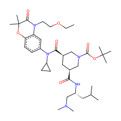 CCOCCN1C(=O)C(C)(C)Oc2ccc(N(C(=O)[C@@H]3C[C@H](C(=O)N[C@H](CC(C)C)CN(C)C)CN(C(=O)OC(C)(C)C)C3)C3CC3)cc21